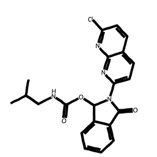 CC(C)CNC(=O)OC1c2ccccc2C(=O)N1c1ccc2ccc(Cl)nc2n1